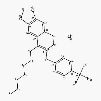 CCCCCCCC1=[N+](Cc2ccc(C(F)(F)F)cc2)CCc2cc3c(cc21)OCO3.[Cl-]